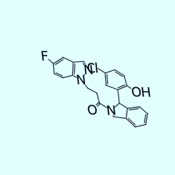 O=C(CCn1ncc2cc(F)ccc21)N1Cc2ccccc2C1c1cc(Cl)ccc1O